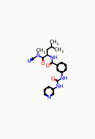 CC(C)CC(NC(=O)c1cccc(NC(=O)Nc2cccnc2)c1)C(=O)N(C)C#N